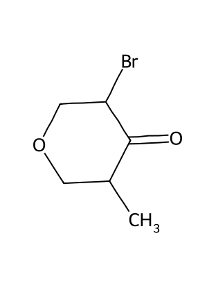 CC1COCC(Br)C1=O